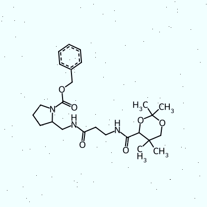 CC1(C)OCC(C)(C)C(C(=O)NCCC(=O)NCC2CCCN2C(=O)OCc2ccccc2)O1